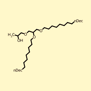 CCCCCCCCCCCCCCCCCCOCC(COCC(C)O)OCCCCCCCCCCCCCCCCCC